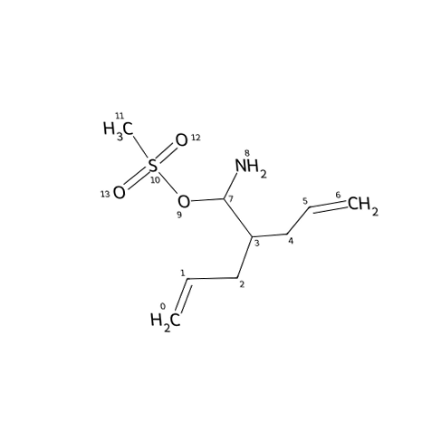 C=CCC(CC=C)C(N)OS(C)(=O)=O